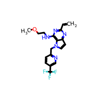 C=Cc1nc(NCCOC)c2c(ccn2Cc2ccc(C(F)(F)F)cn2)n1